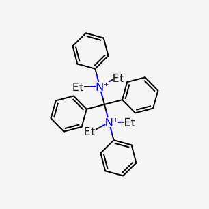 CC[N+](CC)(c1ccccc1)C(c1ccccc1)(c1ccccc1)[N+](CC)(CC)c1ccccc1